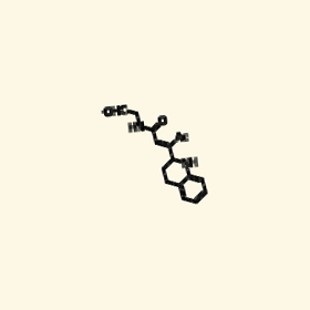 CC(=O)C(=CC(=O)NC[C]=O)C1CCc2ccccc2N1